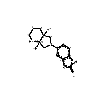 O=c1[nH]c2ccc(N3C[C@H]4CCCN[C@H]4C3)cc2o1